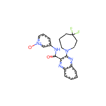 O=C(Nc1ccc[n+]([O-])c1)c1nc2ccccc2nc1N1CCCC(F)(F)CC1